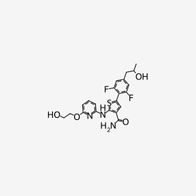 CC(O)Cc1cc(F)c(-c2cc(C(N)=O)c(Nc3cccc(OCCO)n3)s2)c(F)c1